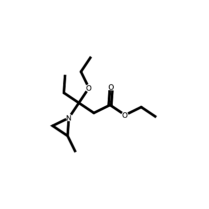 CCOC(=O)CC(CC)(OCC)N1CC1C